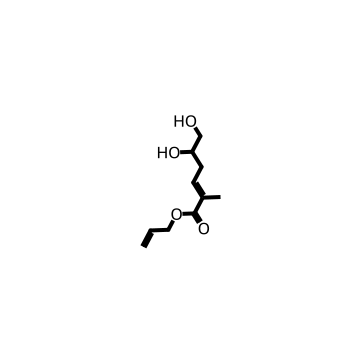 C=CCOC(=O)C(C)=CCC(O)CO